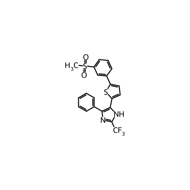 CS(=O)(=O)c1cccc(-c2ccc(-c3[nH]c(C(F)(F)F)nc3-c3ccccc3)s2)c1